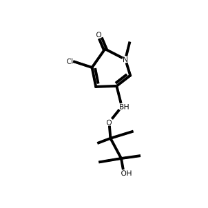 Cn1cc(BOC(C)(C)C(C)(C)O)cc(Cl)c1=O